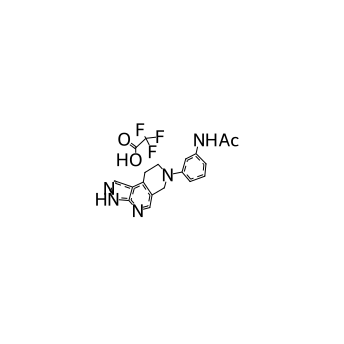 CC(=O)Nc1cccc(N2CCc3c(cnc4[nH]ncc34)C2)c1.O=C(O)C(F)(F)F